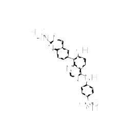 CNc1ncc2cc(-c3c(C)ccc4c(Nc5ccc(S(C)(=O)=O)cc5)ncnc34)ccc2n1